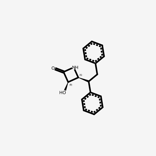 O=C1N[C@@H](C(Cc2ccccc2)c2ccccc2)[C@H]1O